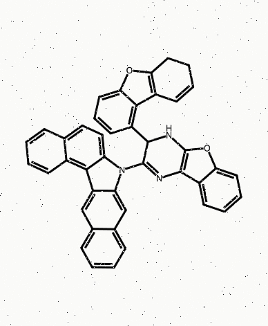 C1=Cc2c(oc3cccc(C4Nc5oc6ccccc6c5N=C4n4c5cc6ccccc6cc5c5c6ccccc6ccc54)c23)CC1